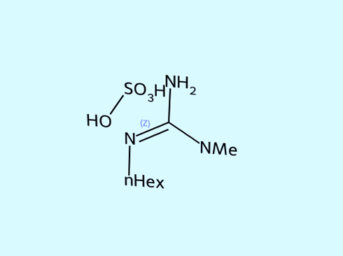 CCCCCC/N=C(/N)NC.O=S(=O)(O)O